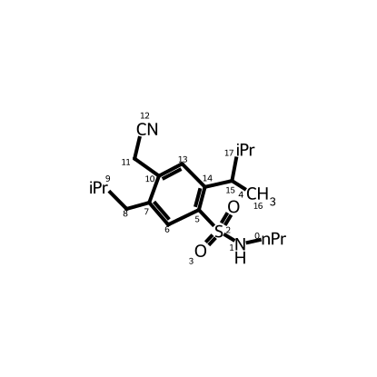 CCCNS(=O)(=O)c1cc(CC(C)C)c(CC#N)cc1C(C)C(C)C